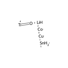 [Co].[Cu].[LiH].[O]=[Ti].[SnH2]